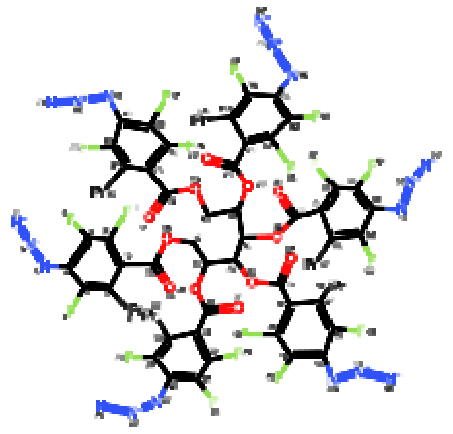 CC(C)c1c(F)c(N=[N+]=[N-])c(F)c(F)c1C(=O)OCC(OC(=O)c1c(F)c(F)c(N=[N+]=[N-])c(F)c1C(C)C)C(OC(=O)c1c(F)c(F)c(N=[N+]=[N-])c(F)c1C(C)C)C(OC(=O)c1c(F)c(F)c(N=[N+]=[N-])c(F)c1C(C)C)C(COC(=O)c1c(F)c(F)c(N=[N+]=[N-])c(F)c1C(C)C)OC(=O)c1c(F)c(F)c(N=[N+]=[N-])c(F)c1C(C)C